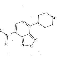 O=[N+]([O-])c1ccc(N2CCNCC2)c2nonc12